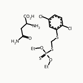 CCOP(=S)(OCC)SCSc1cc(Cl)ccc1Cl.NC(=O)CC(N)C(=O)O